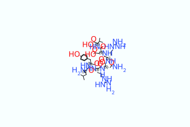 CC(C)C[C@H](N)C(=O)N[C@@H](Cc1ccc(O)cc1)C(=O)N[C@@H](CCCNC(=N)N)C(=O)N[C@@H](CC(N)=O)C(=O)N[C@@H](CCCNC(=N)N)C(=O)N[C@@H](CC(=O)O)C(=O)N[C@H](C(=O)O)C(C)C